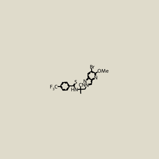 COc1nc2cn(CC(C)(C#N)NC(=S)c3ccc(C(F)(F)F)cc3)nc2cc1Br